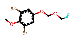 COc1c(Br)cc(OCOCF)cc1Br